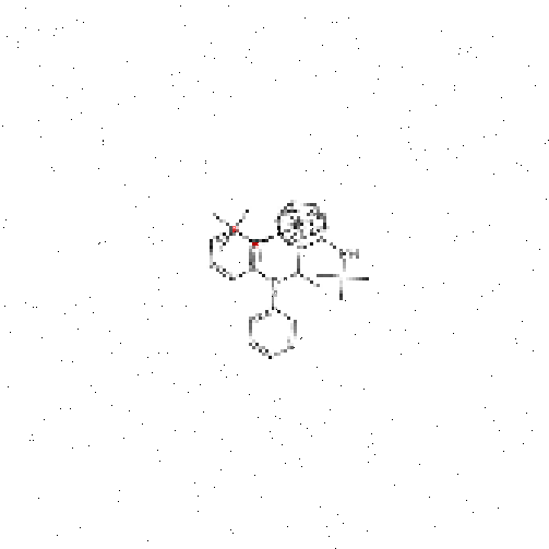 CC(P(c1ccccc1)c1ccccc1)[C]12[C]3(PC(C)(C)C)[CH]4[CH]5[C@]1(PC(C)(C)C)[Fe]45321678[CH]2[CH]1[CH]6[CH]7[CH]28